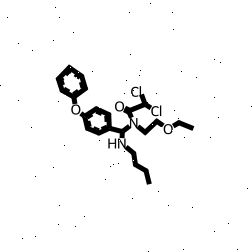 CCCCNC(c1ccc(Oc2ccccc2)cc1)N(CCOCC)C(=O)C(Cl)Cl